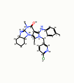 Cc1ccc(Nc2c3c(c(C)n2Cc2ccc(Cl)nc2)N2C(=NC4CCCCC42)N(C)C3=O)cc1